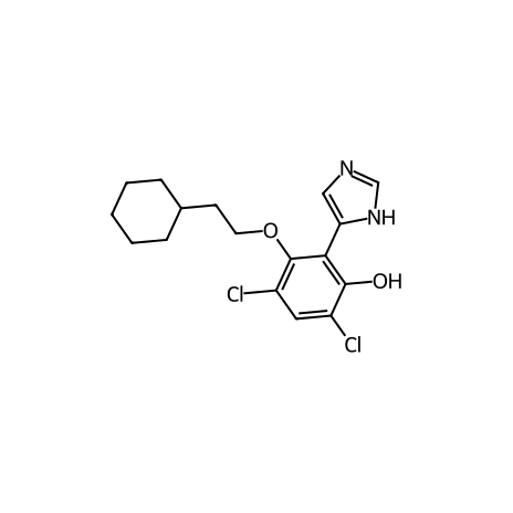 Oc1c(Cl)cc(Cl)c(OCCC2CCCCC2)c1-c1cnc[nH]1